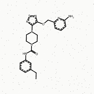 CCc1cccc(NC(=O)N2CCN(c3nsnc3OCc3cccc(N)n3)CC2)c1